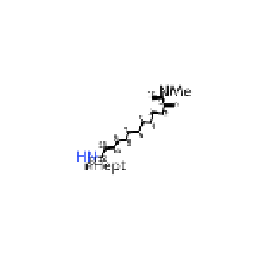 C=C(CCCCCCCCCCCNCCCCCCC)C(=C)NC